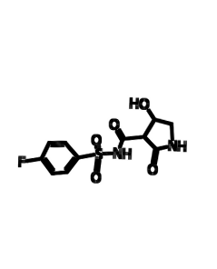 O=C1NCC(O)C1C(=O)NS(=O)(=O)c1ccc(F)cc1